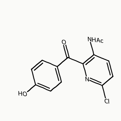 CC(=O)Nc1ccc(Cl)nc1C(=O)c1ccc(O)cc1